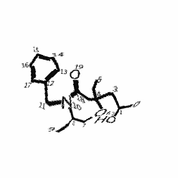 CC(O)CC1(C)OC[C@@H](C)N(Cc2ccccc2)C1=O